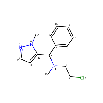 CN(CCCl)C(c1ccccc1)c1ccnn1C